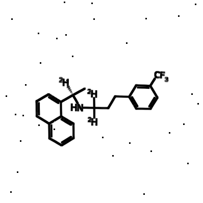 [2H]C([2H])(CCc1cccc(C(F)(F)F)c1)N[C@]([2H])(C)c1cccc2ccccc12